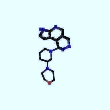 c1cc2c(ncc3cnnc(N4CCCC(N5CCOCC5)C4)c32)[nH]1